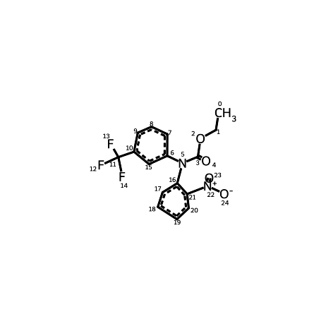 CCOC(=O)N(c1cccc(C(F)(F)F)c1)c1ccccc1[N+](=O)[O-]